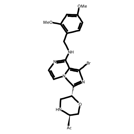 COc1ccc(CNc2nccn3c([C@H]4CN[C@H](C(C)=O)CO4)nc(Br)c23)c(OC)c1